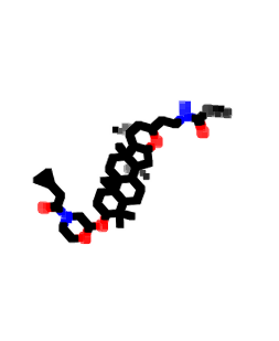 COC(=O)NCCC1C[C@@H](C)C2C(C[C@@]3(C)C4CCC5C(C)(C)C(OC6CN(C(=O)CC7CC7)CCO6)CCC56CC46CCC23C)O1